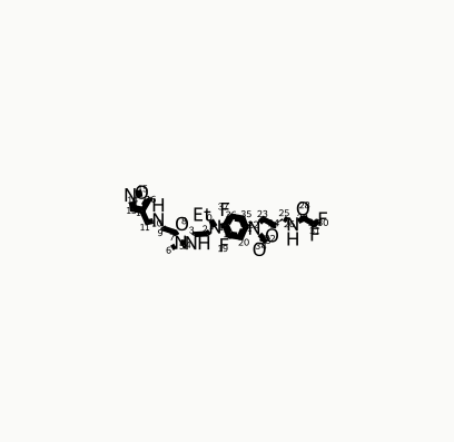 CCN(CCNN(C)C(=O)CNCc1cnoc1)c1c(F)cc(N2C[C@H](CNC(=O)C(F)F)OC2=O)cc1F